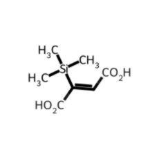 C[Si](C)(C)C(=CC(=O)O)C(=O)O